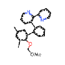 COCOc1c(C)cc(C)cc1-c1ccccc1-c1cccnc1-c1ccccn1